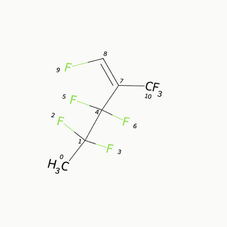 CC(F)(F)C(F)(F)C(=CF)C(F)(F)F